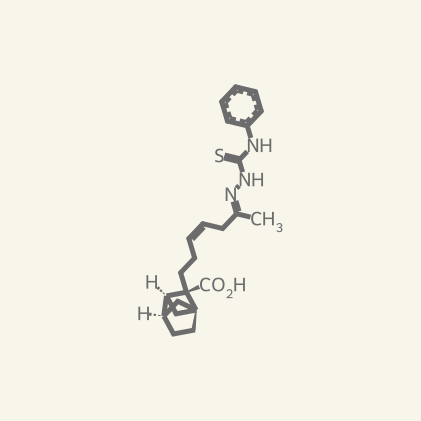 CC(C/C=C\CC[C@@]1(C(=O)O)[C@H]2C[C@@]13CC[C@@H]2C3)=NNC(=S)Nc1ccccc1